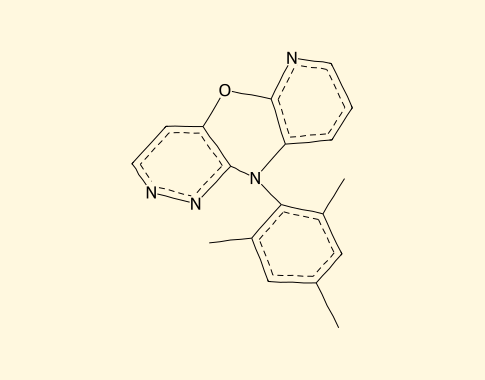 Cc1cc(C)c(N2c3cccnc3Oc3ccnnc32)c(C)c1